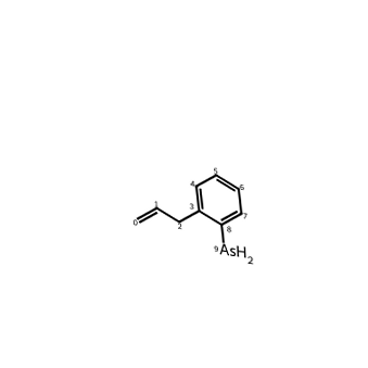 C=CCc1ccccc1[AsH2]